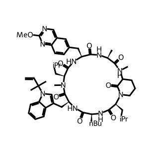 C=CC(C)(C)n1cc(C[C@@H]2NC(=O)[C@H](CCCC)NC(=O)[C@H](CC(C)C)N3CCC[C@@H](C3=O)N(C)C(=O)[C@H](C)NC(=O)[C@H](Cc3ccc4nc(OC)ncc4c3)NC(=O)[C@H](CC(C)C)N(C)C2=O)c2ccccc21